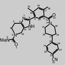 CNC(=O)N1CCc2nc(-c3cc(C(=O)N4CCC(c5ccc(C#N)cc5)CC4)c(C)cc3C)[nH]c2C1